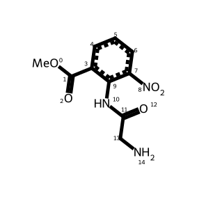 COC(=O)c1cccc([N+](=O)[O-])c1NC(=O)CN